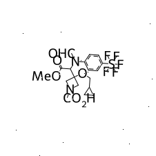 COC(=O)C(N(C=O)c1ccc(S(F)(F)(F)(F)F)cc1)C1(OCC2CC2)CN(C(=O)O)C1